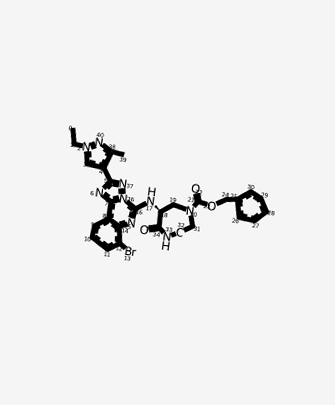 CCn1cc(-c2nc3c4cccc(Br)c4nc(N[C@@H]4CN(C(=O)OCc5ccccc5)CCNC4=O)n3n2)c(C)n1